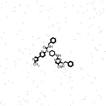 Cn1cc(-c2ccc(N(C(=O)NCc3ccccc3)[C@H]3CC[C@H](Nc4ncc(C#N)c(NCc5ccccc5)n4)CC3)nc2)cn1